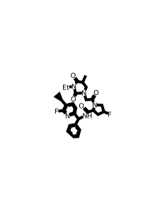 CCN1C(=O)C(C)CN(CC(=O)N2CC(F)CC2C(=O)NC(c2ccccc2)c2ccc(C3CC3)c(F)n2)C1=O